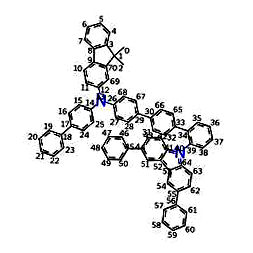 CC1(C)c2ccccc2-c2ccc(N(c3ccc(-c4ccccc4)cc3)c3ccc(-c4ccc(-c5ccccc5-n5c6ccc(-c7ccccc7)cc6c6cc(-c7ccccc7)ccc65)cc4)cc3)cc21